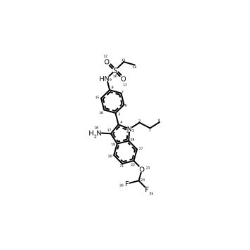 CCCn1c(-c2ccc(NS(=O)(=O)CC)cc2)c(N)c2ccc(OC(F)F)cc21